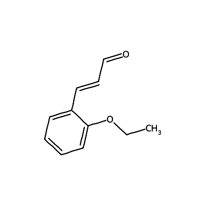 CCOc1ccccc1/C=C/C=O